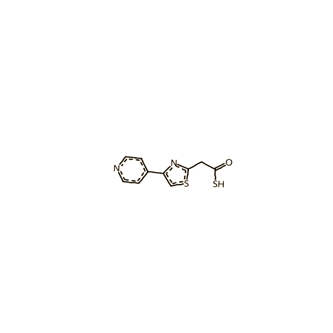 O=C(S)Cc1nc(-c2ccncc2)cs1